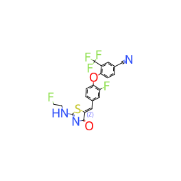 N#Cc1ccc(Oc2ccc(/C=C3\SC(NCCF)=NC3=O)cc2F)c(C(F)(F)F)c1